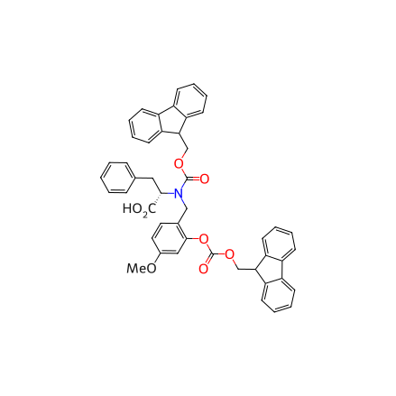 COc1ccc(CN(C(=O)OCC2c3ccccc3-c3ccccc32)[C@@H](Cc2ccccc2)C(=O)O)c(OC(=O)OCC2c3ccccc3-c3ccccc32)c1